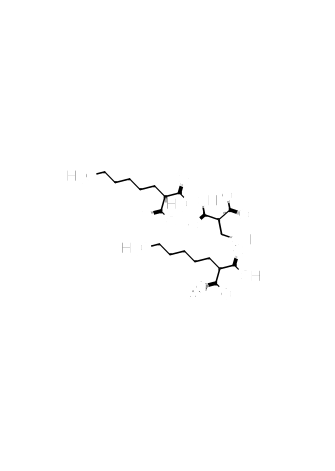 CCC(C(C)=O)C(=O)[O-].CCCCCCC(C(C)=O)C(=O)[O-].CCCCCCC(C(C)=O)C(=O)[O-].[Al+3]